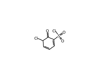 O=C1C(S(=O)(=O)Cl)=CC=CC1Cl